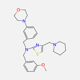 COc1cccc(CN(Cc2cccc(N3CCOCC3)c2)c2nc(CN3CCCCC3)cs2)c1